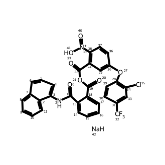 O=C(Nc1cccc2ccccc12)c1ccccc1C(=O)OC(=O)c1cc(Oc2ccc(C(F)(F)F)cc2Cl)ccc1[N+](=O)O.[NaH]